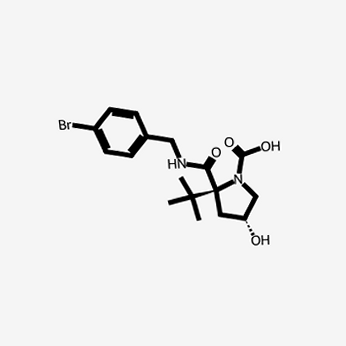 CC(C)(C)[C@]1(C(=O)NCc2ccc(Br)cc2)C[C@@H](O)CN1C(=O)O